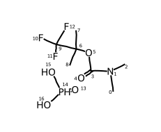 CN(C)C(=O)OC(C)(C)C(F)(F)F.O=[PH](O)O